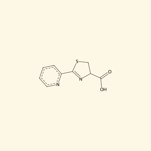 O=C(O)C1CSC(c2ccccn2)=N1